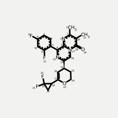 Cc1nc2c(-c3ccc(F)cc3F)nc([C@@H]3C=C(C4CC4(F)F)OCC3)cn2c(=O)c1C